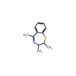 CC1=NC(C)C(C)Sc2ccccc21